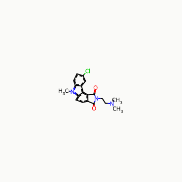 CN(C)CCN1C(=O)c2ccc3c(c2C1=O)c1cc(Cl)ccc1n3C